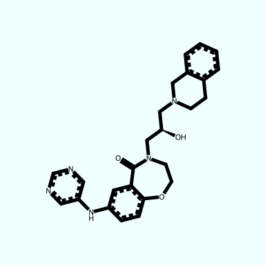 O=C1c2cc(Nc3cncnc3)ccc2OCCN1C[C@H](O)CN1CCc2ccccc2C1